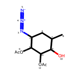 CC(=O)OC1C(N=[N+]=[N-])CC(C)C(O)C1OC(C)=O